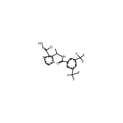 CC(NC(=O)c1cc(C(F)(F)F)cc(C(F)(F)F)c1)c1nccnc1C(Cl)=NO